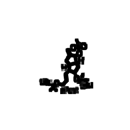 C=C1C[C@@H]2[C@H](/C=C/[C@H](CCCCC)O[Si](C)(C)C(C)(C)C)[C@H](O[Si](C)(C)C(C)(C)C)C[C@@H]2C1OS(C)(=O)=O